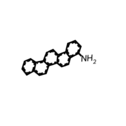 Nc1cccc2c1ccc1c2ccc2c3ccccc3ccc21